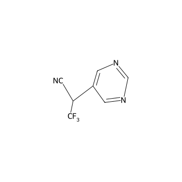 N#CC(c1cncnc1)C(F)(F)F